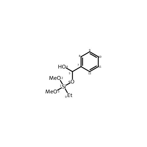 CC[Si](OC)(OC)OC(O)c1ccccc1